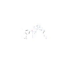 C[C@H](NC(=O)c1cc(Br)cc(C2CC2(F)F)c1)c1ncnn1-c1ncc(C#N)s1